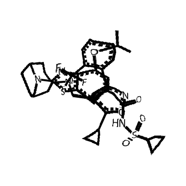 CC(C)Oc1cc(C(=O)NS(=O)(=O)C2CC2)cc2sc(N3C4CC(NCc5c(-c6ccccc6C(F)(F)F)noc5C5CC5)CC3C4)nc12